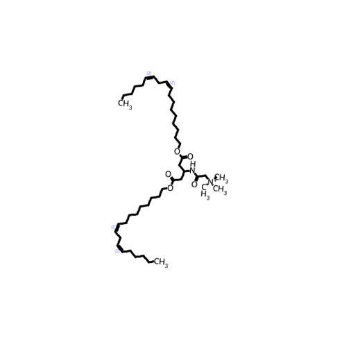 CCCCC/C=C\C/C=C\CCCCCCCCOC(=O)CC(CC(=O)OCCCCCCCC/C=C\C/C=C\CCCCC)NC(=O)C[N+](C)(C)C